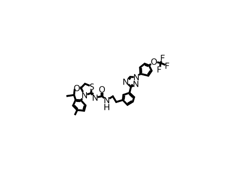 Cc1ccc(N2C(=O)CS/C2=N\C(=O)NCCc2cccc(-c3ncn(-c4ccc(OC(F)(F)F)cc4)n3)c2)c(C(C)C)c1